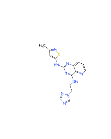 Cc1cc(Nc2nc(NCCn3cncn3)c3ncccc3n2)sn1